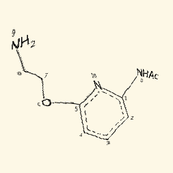 CC(=O)Nc1cccc(OCCN)n1